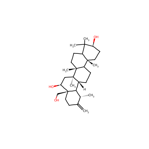 C=C1CC[C@@]2(CO)C([C@@H]1C)[C@H]1CCC3[C@@]4(C)CC[C@H](O)C(C)(C)C4CC[C@@]3(C)[C@]1(C)C[C@@H]2O